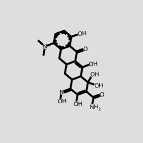 CN(C)c1ccc(O)c2c1CC1CC3/C(=N/O)C(O)=C(C(N)=O)C(O)(O)C3C(O)=C1C2=O